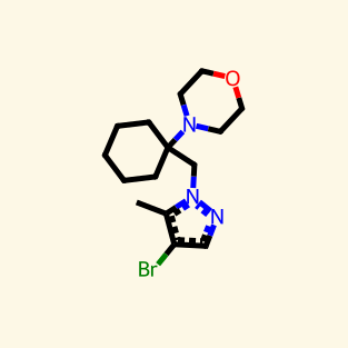 Cc1c(Br)cnn1CC1(N2CCOCC2)CCCCC1